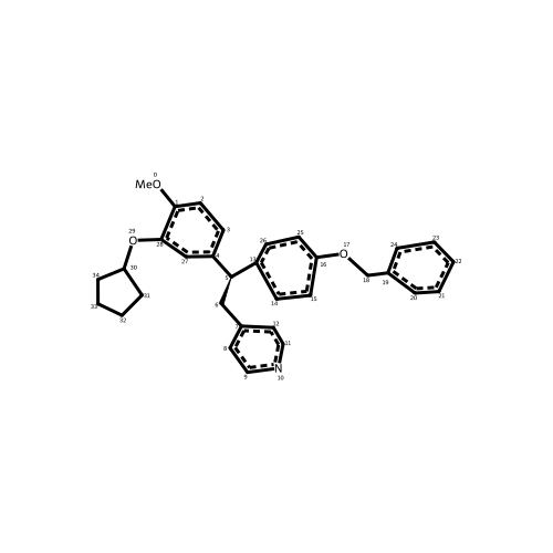 COc1ccc([C@H](Cc2ccncc2)c2ccc(OCc3ccccc3)cc2)cc1OC1CCCC1